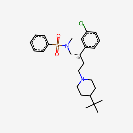 CN(C[C@@H](CCN1CCC(C(C)(C)C)CC1)c1cccc(Cl)c1)S(=O)(=O)c1ccccc1